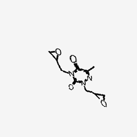 Cc1nn(CC2CO2)c(=O)n(CC2CO2)c1=O